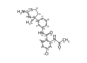 CC(=O)Nc1cc(Cl)cnc1C(=O)Nc1cccc(C2(C)CCSC(N)=N2)c1